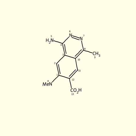 CNc1cc2c(N)nnc(C)c2cc1C(=O)O